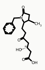 CC1CC(=O)N(Cc2ccccc2)C1CCC(=O)C[C@@H](O)CC(=O)O